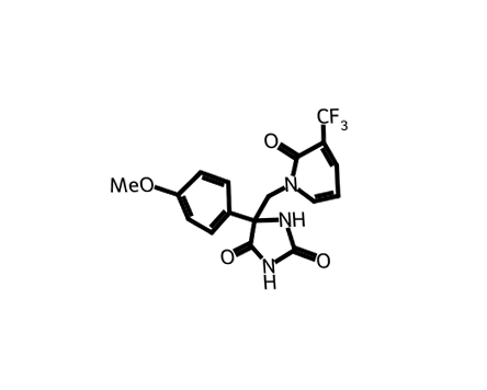 COc1ccc(C2(Cn3cccc(C(F)(F)F)c3=O)NC(=O)NC2=O)cc1